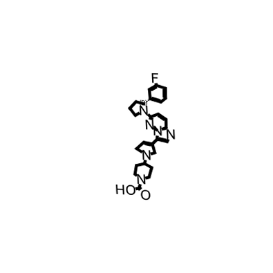 O=C(O)N1CCC(N2CC=C(c3cnc4ccc(N5CCC[C@@H]5c5cccc(F)c5)nn34)C2)CC1